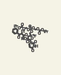 CCC(C(=O)O[C@@H]1[C@@](CF)(COP(=O)(OCOC(=O)OC(C)C)OCOC(=O)OC(C)C)O[C@@H](n2ccc(=O)[nH]c2=O)[C@]1(C)O)C(=O)c1ccccc1